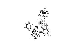 Cc1cc2cnc(NC3CCN(S(C)(=O)=O)CC3)nc2c(C2CC(OC(=O)c3ccccc3)(C(F)F)C2)n1